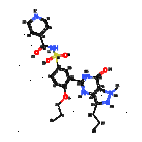 CCCOc1ccc(S(=O)(=O)NC(=O)c2ccncc2)cc1-c1nc2c(CCC)nn(C)c2c(=O)[nH]1